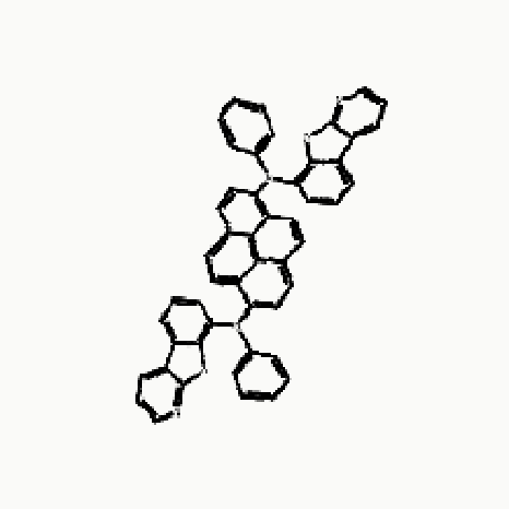 c1ccc(N(c2ccc3ccc4c(N(c5ccccc5)c5cccc6c5oc5ncccc56)ccc5ccc2c3c54)c2cccc3c2oc2ncccc23)cc1